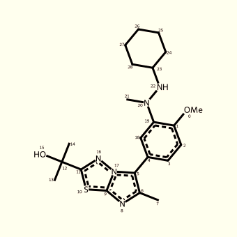 COc1ccc(-c2c(C)nc3sc(C(C)(C)O)nn23)cc1N(C)NC1CCCCC1